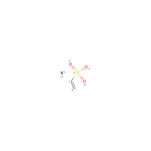 C=CS(=O)(=O)[O-].[K+]